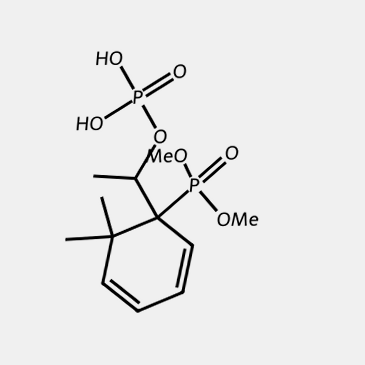 COP(=O)(OC)C1(C(C)OP(=O)(O)O)C=CC=CC1(C)C